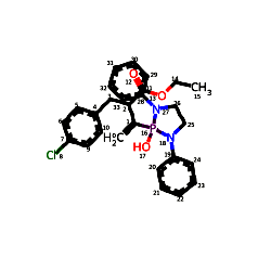 C=C(C(Cc1ccc(Cl)cc1)C(=O)OCC)[P]1(O)N(c2ccccc2)CCN1c1ccccc1